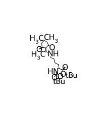 CC(NCCCC[C@H](NC(=O)OC(C)(C)C)C(=O)OC(C)(C)C)=C1C(=O)CC(C)(C)CC1=O